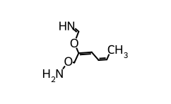 C/C=C\C=C(/CON)OC=N